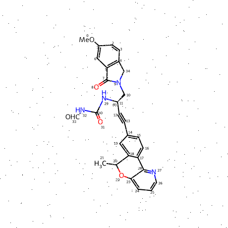 COc1ccc2c(c1)C(=O)N(C[C@@H](C#Cc1ccc3c(c1)C(C)Oc1cccnc1-3)NC(=O)NC=O)C2